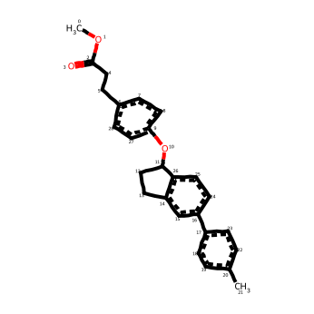 COC(=O)CCc1ccc(OC2CCc3cc(-c4ccc(C)cc4)ccc32)cc1